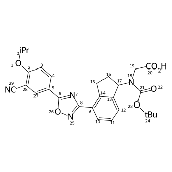 CC(C)Oc1ccc(-c2nc(-c3cccc4c3CCC4N(CC(=O)O)C(=O)OC(C)(C)C)no2)cc1C#N